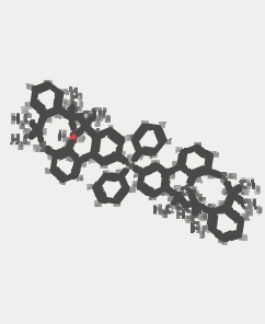 CC(C)(C)c1ccc([Si](c2ccccc2)(c2ccccc2)c2ccc(C(C)(C)C)c(-c3cccc4c3SC(C)(C)c3ccccc3C(C)(C)S4)c2)cc1-c1cccc2c1SC(C)(C)c1ccccc1C(C)(C)S2